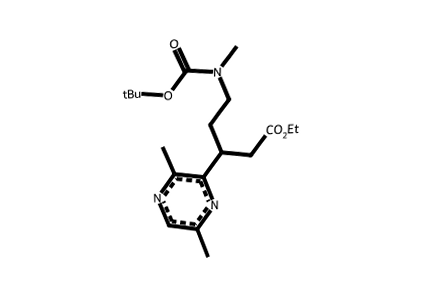 CCOC(=O)CC(CCN(C)C(=O)OC(C)(C)C)c1nc(C)cnc1C